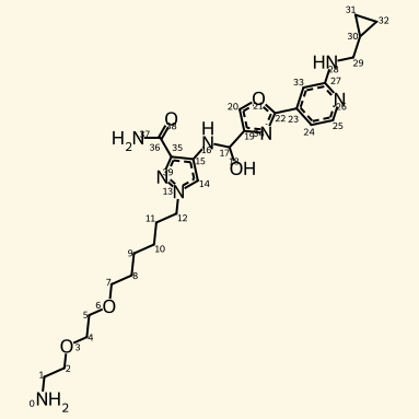 NCCOCCOCCCCCCn1cc(NC(O)c2coc(-c3ccnc(NCC4CC4)c3)n2)c(C(N)=O)n1